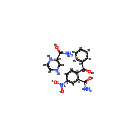 NC(=O)c1cc([N+](=O)[O-])ccc1C(=O)c1ccccc1.NC(=O)c1cnccn1